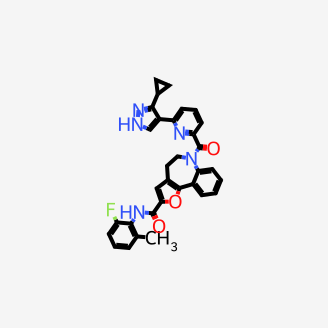 Cc1cccc(F)c1NC(=O)c1cc2c(o1)-c1ccccc1N(C(=O)c1cccc(-c3c[nH]nc3C3CC3)n1)CC2